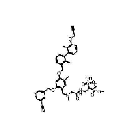 C#CCOc1cccc(-c2cccc(COc3cc(OCc4cncc(C#N)c4)c(CN(C)CC(=O)NCC(S(=O)(=O)O)S(=O)(=O)O)cc3C)c2C)c1C